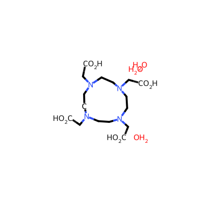 O.O.O.O=C(O)CN1CCN(CC(=O)O)CCN(CC(=O)O)CCN(CC(=O)O)CC1